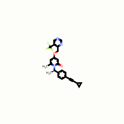 Cc1cc(OCc2ncncc2C(F)(F)F)cc(=O)n1[C@H](C)c1ccc(C#CC2CC2)cc1